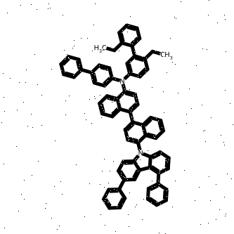 CCc1ccccc1-c1cc(N(c2ccc(-c3ccccc3)cc2)c2ccc(-c3ccc(-n4c5ccc(-c6ccccc6)cc5c5c(-c6ccccc6)cccc54)c4ccccc34)c3ccccc23)ccc1CC